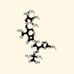 CNc1c[n+](CC2=C(C(=O)O)C3C(=O)[C@@H](NC(=O)/C(=N\OC(C)(C)C(=O)O)c4nsc(N)n4)C3SC2)n(C)c1N